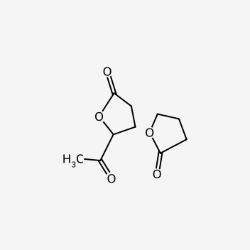 CC(=O)C1CCC(=O)O1.O=C1CCCO1